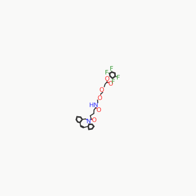 O=C(CCCC(=O)N1Cc2ccccc2C#Cc2ccccc21)NCCOCCOCCC(=O)Oc1c(F)c(F)cc(F)c1F